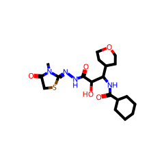 CN1C(=O)CSC1=NNC(=O)C(O)C(NC(=O)C1CCCCC1)C1CCOCC1